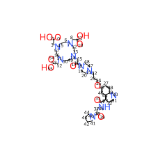 O=C(O)CN1CCN(CC(=O)O)CCN(CC(=O)N2CCN(CCCOc3ccc4nccc(C(=O)NCC(=O)N5CCCC5)c4c3)CC2)CCN(CC(=O)O)CC1